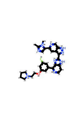 Cc1ncc(-c2cc3c(-c4nc5c(-c6cc(F)cc(OCCN7CCCC7)c6)nccc5[nH]4)n[nH]c3cn2)n1C